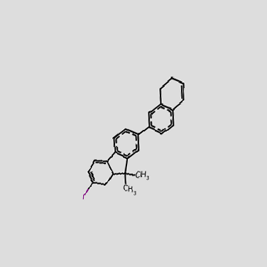 CC1(C)c2cc(-c3ccc4c(c3)CCC=C4)ccc2C2=CC=C(I)CC21